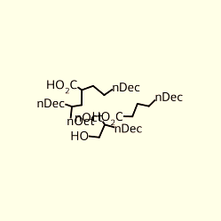 CCCCCCCCCCC(CO)CCCCCCCC.CCCCCCCCCCCCC(CC(CCCCCCCC)CCCCCCCCCC)C(=O)O.CCCCCCCCCCCCCC(=O)O